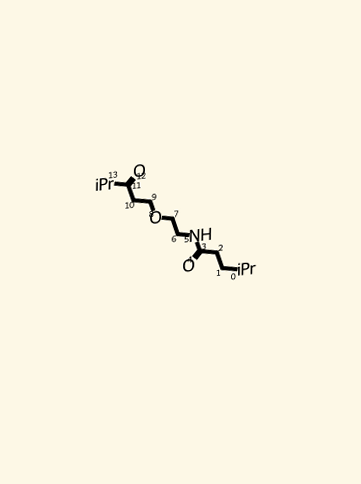 CC(C)CCC(=O)NCCOCCC(=O)C(C)C